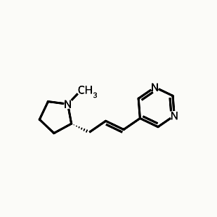 CN1CCC[C@H]1C/C=C/c1cncnc1